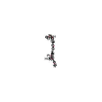 Cc1ncsc1-c1ccc(CNC(=O)[C@@H]2C[C@@H](O)CN2C(=O)C(c2cc(OC[C@H]3CC[C@@H](N4CCC(c5cnc(N6CCc7[nH]c8nnc(-c9ccccc9O)cc8c7[C@H]6C)nc5)CC4)CC3)no2)C(C)C)cc1